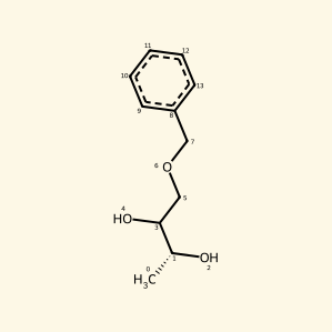 C[C@@H](O)C(O)COCc1ccccc1